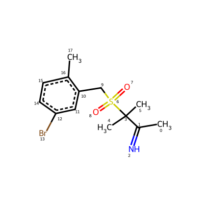 CC(=N)C(C)(C)S(=O)(=O)Cc1cc(Br)ccc1C